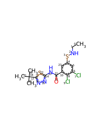 CCNSc1cc(Cl)c(Cl)c(C(=O)Nc2nnc(C(C)(C)C)s2)c1